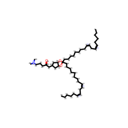 CCCCC/C=C\C/C=C\CCCCCCCCC1(CCCCCCCC/C=C\C/C=C\CCCCC)OC2CC(CC(=O)CCCN(C)C)CC2O1